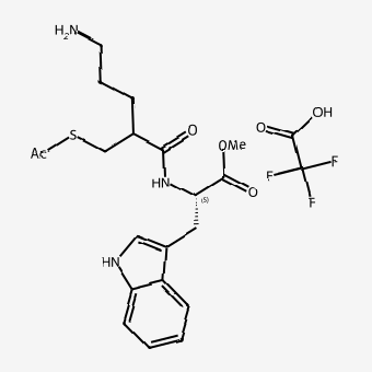 COC(=O)[C@H](Cc1c[nH]c2ccccc12)NC(=O)C(CCCN)CSC(C)=O.O=C(O)C(F)(F)F